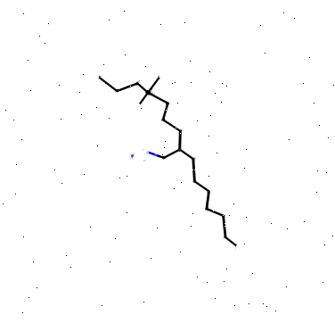 CCCCCCCC(CCCC(C)(C)CCC)CNC